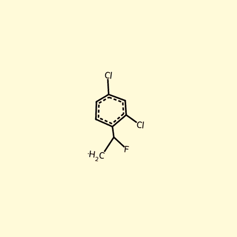 [CH2]C(F)c1ccc(Cl)cc1Cl